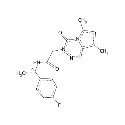 Cc1cc(C)n2c(=O)n(CC(=O)N[C@@H](C)c3ccc(F)cc3)ncc12